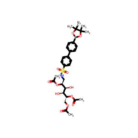 CC(=O)OC[C@@H](OC(C)=O)[C@@H](O)[C@H](O)[C@H](CNS(=O)(=O)c1ccc(-c2ccc(B3OC(C)(C)C(C)(C)O3)cc2)cc1)OC(C)=O